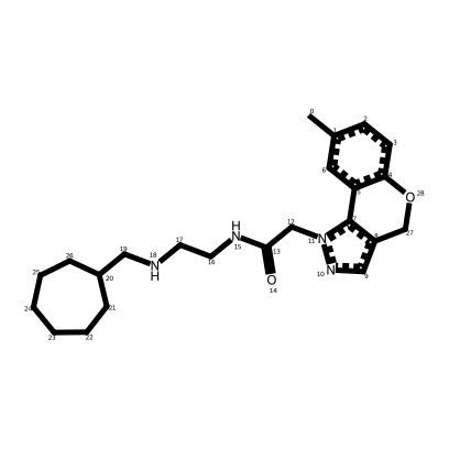 Cc1ccc2c(c1)-c1c(cnn1CC(=O)NCCNCC1CCCCCC1)CO2